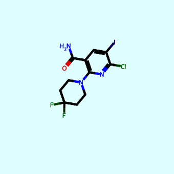 NC(=O)c1cc(I)c(Cl)nc1N1CCC(F)(F)CC1